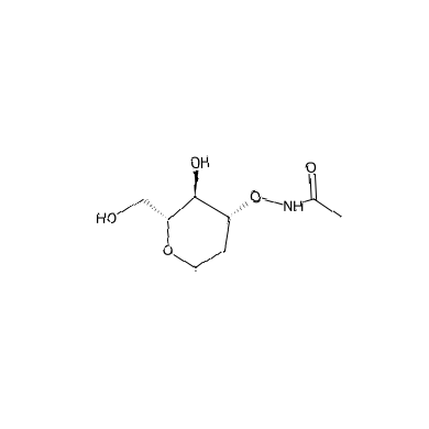 CC(=O)NO[C@@H]1C[CH]O[C@H](CO)[C@H]1O